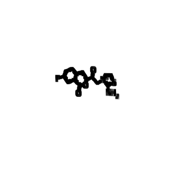 Nc1scc[n+]1CC(=O)c1cc2ccc(F)cc2c(=O)o1